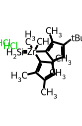 CC1=CC(C)[C]([Zr]([CH3])([CH3])(=[SiH2])[C]2=C(C)C(C(C)(C)C)=CC2C)=C1C.Cl.Cl